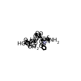 CS(=O)(=O)N1C(=O)[C@@H](NC(=O)/C(=N\OC2(C(=O)O)CCCCC2)C2CSC(N)=N2)[C@H]1CNC(=O)NCc1cc(=O)c(O)cn1O